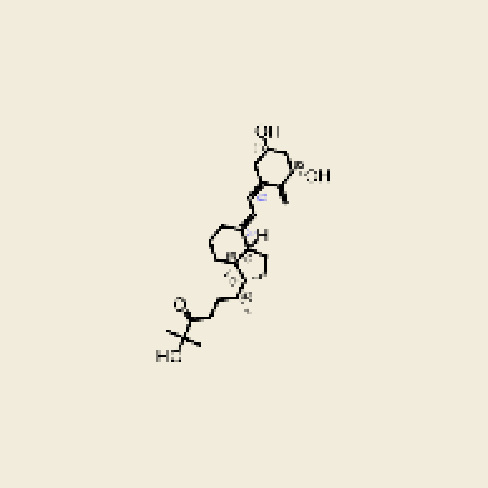 C=C1/C(=C\C=C2/CCC[C@]3(C)[C@@H]([C@H](C)CCC(=O)C(C)(C)O)CC[C@@H]23)C[C@@H](O)C[C@@H]1O